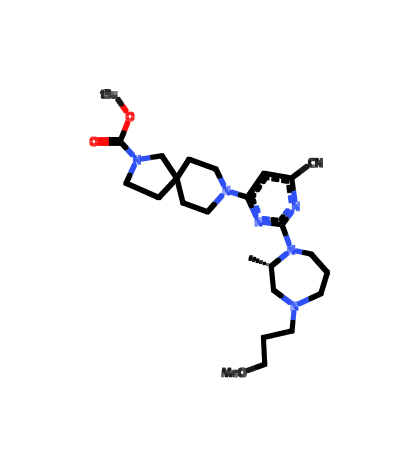 COCCCN1CCCN(c2nc(C#N)cc(N3CCC4(CCN(C(=O)OC(C)(C)C)C4)CC3)n2)[C@@H](C)C1